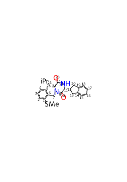 CSc1ccccc1CN1C(=O)[C@@H](C2Cc3ccccc3C2)NC(=O)[C@H]1CC(C)C